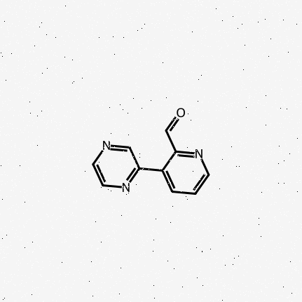 O=Cc1ncccc1-c1cnccn1